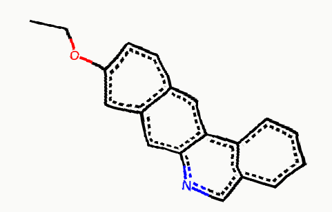 CCOc1ccc2cc3c(cc2c1)ncc1ccccc13